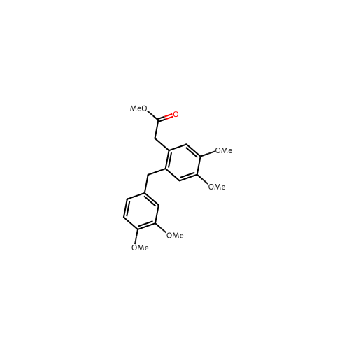 COC(=O)Cc1cc(OC)c(OC)cc1Cc1ccc(OC)c(OC)c1